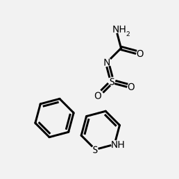 C1=CNSC=C1.NC(=O)N=S(=O)=O.c1ccccc1